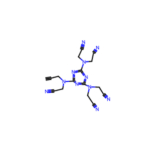 C#CCN(CC#N)c1nc(N(CC#N)CC#N)nc(N(CC#N)CC#N)n1